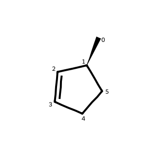 C[C@@H]1C=CCC1